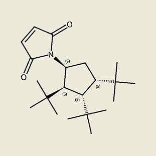 CC(C)(C)[C@@H]1[C@@H](C(C)(C)C)[C@@H](C(C)(C)C)C[C@@H]1N1C(=O)C=CC1=O